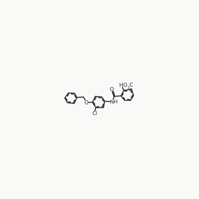 O=C(O)c1ccccc1C(=O)Nc1ccc(OCc2ccccc2)c(Cl)c1